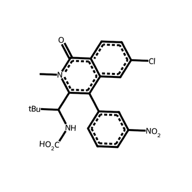 Cn1c(C(NC(=O)O)C(C)(C)C)c(-c2cccc([N+](=O)[O-])c2)c2cc(Cl)ccc2c1=O